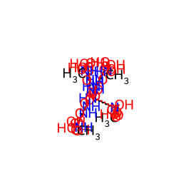 COP(=O)(O)OC[C@@H]1CC(O)CN1C(=O)CCCCCCCCCCC(=O)NC(COCCC(=O)NCCCNC(=O)CCCCOC1OC(CO)C(O)C(O)C1NC(C)=O)(COCCC(=O)NCCCNC(=O)CCCCOC1OC(CO)C(O)C(O)C1NC(C)=O)COCNCCCNC(=O)CCCCOC1OC(CO)C(O)C(O)C1NC(C)=O